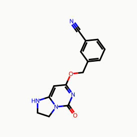 N#Cc1cccc(COc2cc3n(c(=O)n2)CCN3)c1